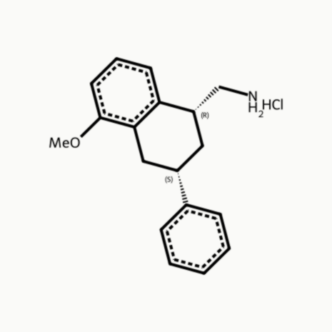 COc1cccc2c1C[C@@H](c1ccccc1)C[C@H]2CN.Cl